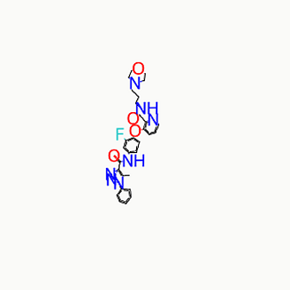 Cc1c(C(=O)Nc2ccc(Oc3cccnc3C(=O)NCCCN3CCOCC3)c(F)c2)nnn1-c1ccccc1